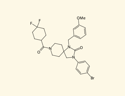 COc1cccc(CN2C(=O)N(c3ccc(Br)cc3)CC23CCN(C(=O)C2CCC(F)(F)CC2)CC3)c1